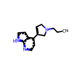 N#CCCN1CC=C(c2ccnc3[nH]ccc23)C1